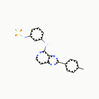 Cc1ccc(-c2nc3c(Nc4cccc(NS(C)(=O)=O)c4)nccc3[nH]2)cc1